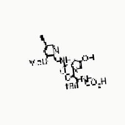 C#Cc1cnc(CNC(=O)[C@@H]2C[C@@H](O)CN2C(=O)C(NC(=O)O)C(C)(C)C)c(OC)c1